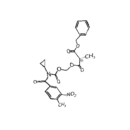 Cc1ccc(C(=O)N(C(=O)OCOC(=O)[C@@H](C)C(=O)OCc2ccccc2)C2CC2)cc1[N+](=O)[O-]